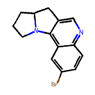 Brc1ccc2ncc3c(c2c1)N1CCCC1C3